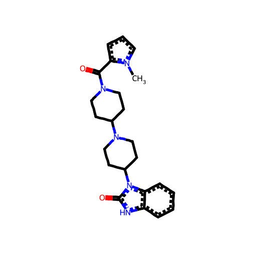 Cn1cccc1C(=O)N1CCC(N2CCC(n3c(=O)[nH]c4ccccc43)CC2)CC1